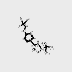 C[C@@H](N[S@+]([O-])C(C)(C)C)c1ccc(OCC(F)(F)F)nc1